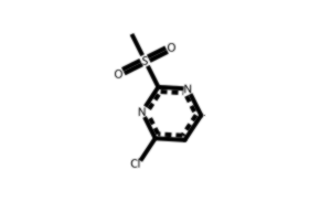 CS(=O)(=O)c1n[c]cc(Cl)n1